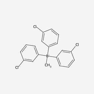 C[B-](c1cccc(Cl)c1)(c1cccc(Cl)c1)c1cccc(Cl)c1